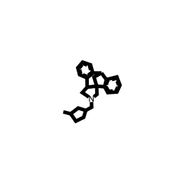 CC1CCC(CN2CC3c4ccccc4C4CC3(C2)c2ccccc24)C1